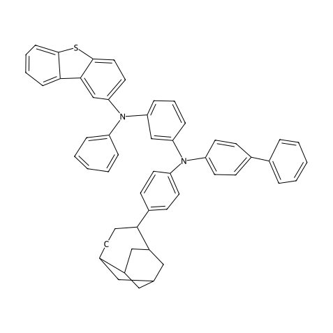 c1ccc(-c2ccc(N(c3ccc(C4CCC5CC6CC5CC4C6)cc3)c3cccc(N(c4ccccc4)c4ccc5sc6ccccc6c5c4)c3)cc2)cc1